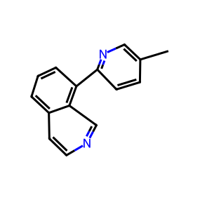 Cc1ccc(-c2cccc3ccncc23)nc1